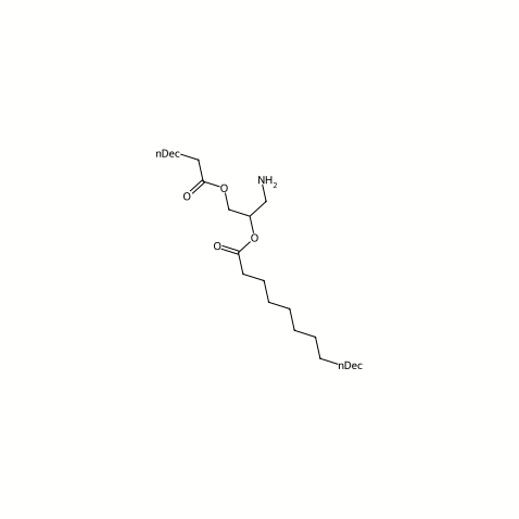 CCCCCCCCCCCCCCCCCC(=O)OC(CN)COC(=O)CCCCCCCCCCC